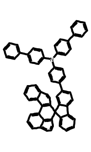 c1ccc(-c2ccc(N(c3ccc(-c4ccccc4)cc3)c3ccc(-c4ccc5c(c4)C4(c6ccccc6-5)c5ccc6ccccc6c5-c5cccc6cccc4c56)cc3)cc2)cc1